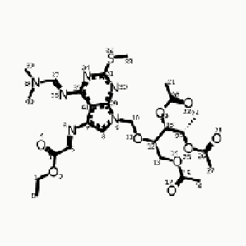 CCOC(=O)/C=N/c1cn(CO[C@H](COC(C)=O)[C@@H](OC(C)=O)[C@H](C)OC(C)=O)c2nc(SC)nc(/N=C/N(C)C)c12